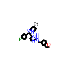 CCc1ccn2c(-c3ccnc(NCc4ccc5c(c4)CCO5)n3)c(-c3ccc(F)cc3)nc2c1